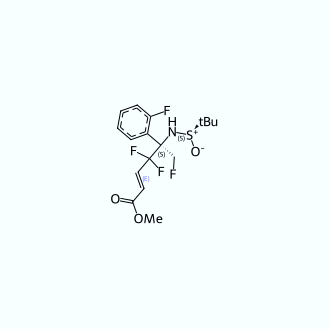 COC(=O)/C=C/C(F)(F)[C@](CF)(N[S@+]([O-])C(C)(C)C)c1ccccc1F